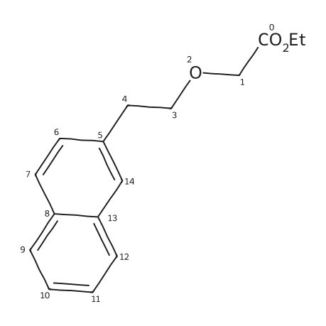 CCOC(=O)COCCc1ccc2ccccc2c1